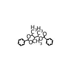 CC(OC(=O)c1ccccc1)C(C)C(C)OC(=O)c1ccccc1